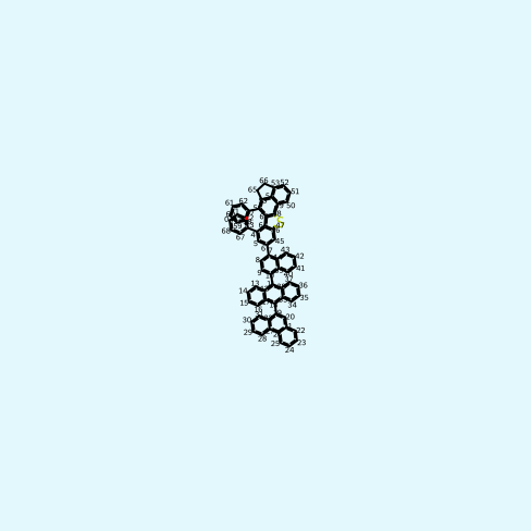 c1ccc(-c2cc(-c3ccc(-c4c5ccccc5c(-c5cc6ccccc6c6ccccc56)c5ccccc45)c4ccccc34)cc3sc4c5cccc6c5c(c(-c5ccccc5)c4c23)CC6)cc1